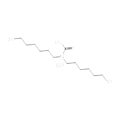 CC(C)CCCCCCN(CCCCCCC(C)C)C(=S)S.[BiH3]